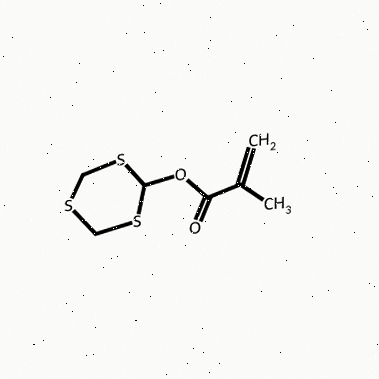 C=C(C)C(=O)OC1SCSCS1